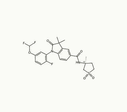 CC1(C)C(=O)N(c2cc(OC(F)F)ccc2F)c2ccc(C(=O)N[C@@]3(C)CCS(=O)(=O)C3)cc21